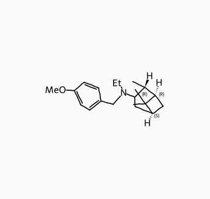 CCN(Cc1ccc(OC)cc1)C1C[C@@H]2C[C@H]([C@H]1C)C2(C)C